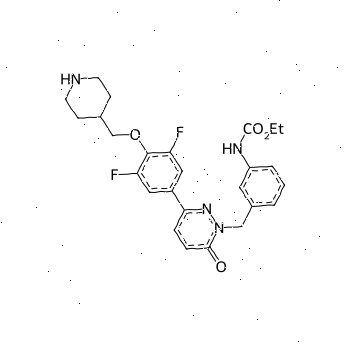 CCOC(=O)Nc1cccc(Cn2nc(-c3cc(F)c(OCC4CCNCC4)c(F)c3)ccc2=O)c1